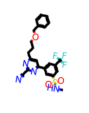 CNS(=O)(=O)c1cc(-c2cc(CCCOCc3ccccc3)nc(C#N)n2)cc(C(F)(F)F)c1